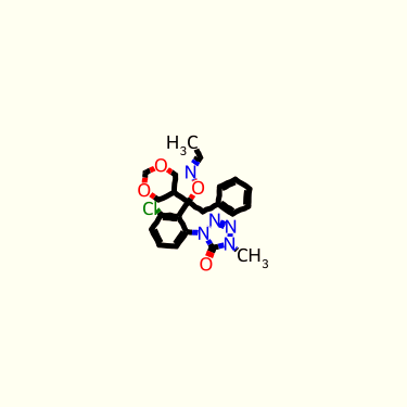 CC=NOC(Cc1ccccc1)(c1c(Cl)cccc1-n1nnn(C)c1=O)C1COCOC1